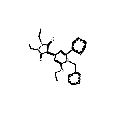 CCOC1=CC(=C2C(=O)N(CC)N(CC)C2=O)C=C(c2ccccc2)N1Cc1ccccc1